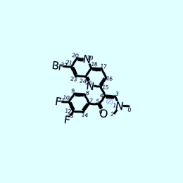 CN(C)/C=C(\C(=O)c1ccc(F)c(F)c1)c1ccc2ncc(Br)cc2n1